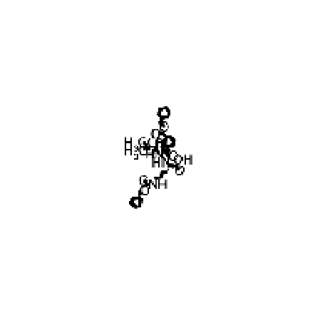 CC(C)(C)OC(=O)NN(C(=O)N[C@@H](CCCCNC(=O)OCc1ccccc1)C(=O)O)c1cccc(C(=O)OCc2ccccc2)c1